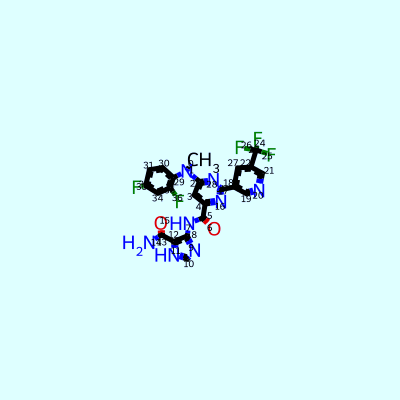 CN(c1cc(C(=O)Nc2nc[nH]c2C(N)=O)nc(-c2cncc(C(F)(F)F)c2)n1)c1ccc(F)cc1F